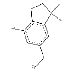 Cc1cc(CC(C)C)cc2c1CCC2(C)C